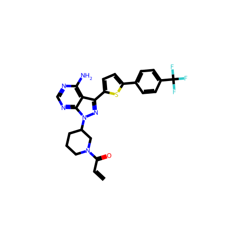 C=CC(=O)N1CCCC(n2nc(-c3ccc(-c4ccc(C(F)(F)F)cc4)s3)c3c(N)ncnc32)C1